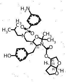 CC(C)CN(C[C@H]1OC(C)(C)N(C(=O)O[C@H]2CO[C@H]3OCC[C@H]32)[C@H]1Cc1ccc(O)cc1)S(=O)(=O)c1cccc(N)c1